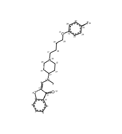 CN(C=C1Oc2ccccc2C1=O)C1CCN(CCCCOc2ccc(F)cc2)CC1